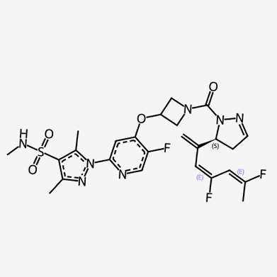 C=C(/C=C(F)\C=C(/C)F)[C@@H]1CC=NN1C(=O)N1CC(Oc2cc(-n3nc(C)c(S(=O)(=O)NC)c3C)ncc2F)C1